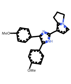 COc1ccc(-c2nc(-c3ccn4c3CCC4)[nH]c2-c2ccc(OC)cc2)cc1